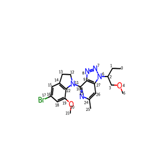 CCC(COC)n1nnc2c(N3CCc4cc(Br)cc(OC)c43)nc(C)cc21